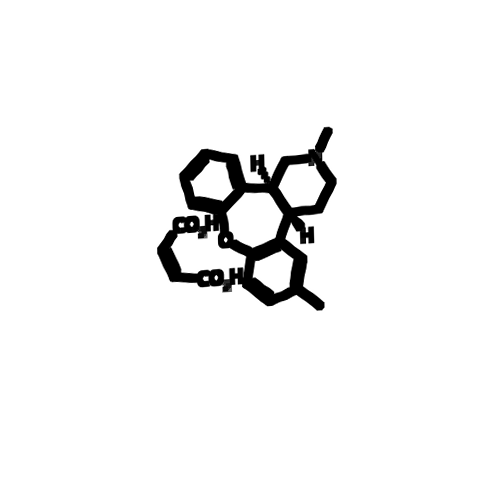 Cc1ccc2c(c1)[C@H]1CCN(C)C[C@@H]1c1ccccc1O2.O=C(O)/C=C\C(=O)O